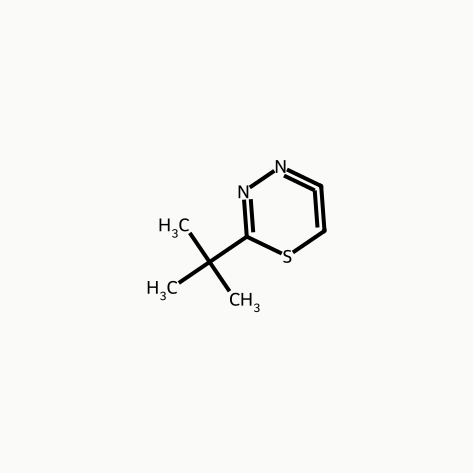 CC(C)(C)C1=NN=C=CS1